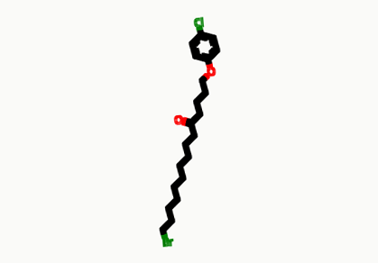 O=C(CCCCCCCCCCBr)CCCCOc1ccc(Cl)cc1